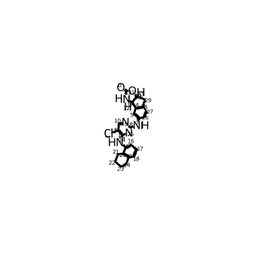 O=C1N[C@H]2c3cc(Nc4ncc(Cl)c(Nc5cccc6c5CCCC6)n4)ccc3C[C@H]2O1